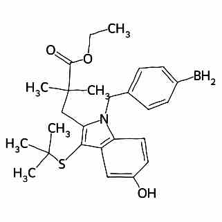 Bc1ccc(Cn2c(CC(C)(C)C(=O)OCC)c(SC(C)(C)C)c3cc(O)ccc32)cc1